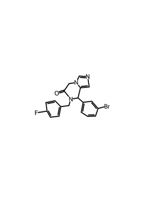 O=C1Cn2cncc2C(c2cccc(Br)c2)N1Cc1ccc(F)cc1